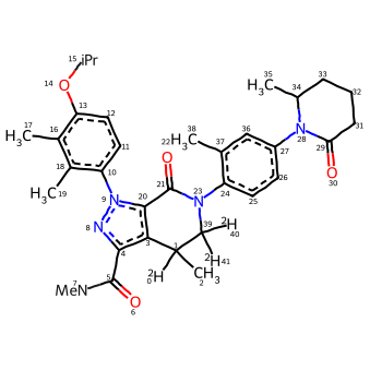 [2H]C1(C)c2c(C(=O)NC)nn(-c3ccc(OC(C)C)c(C)c3C)c2C(=O)N(c2ccc(N3C(=O)CCCC3C)cc2C)C1([2H])[2H]